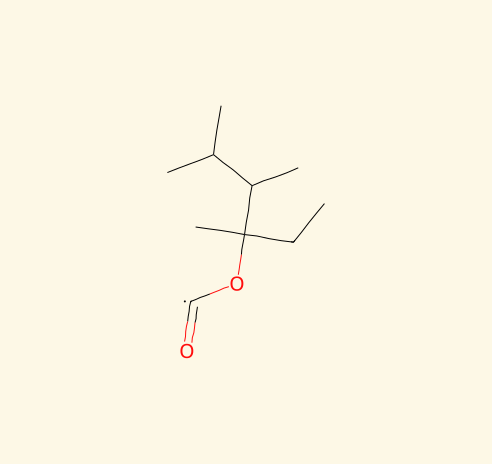 CCC(C)(O[C]=O)C(C)C(C)C